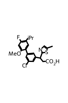 COc1cc(F)c(C(C)C)cc1-c1cc(Cl)cc(C(CC(=O)O)c2ncc(C)s2)c1